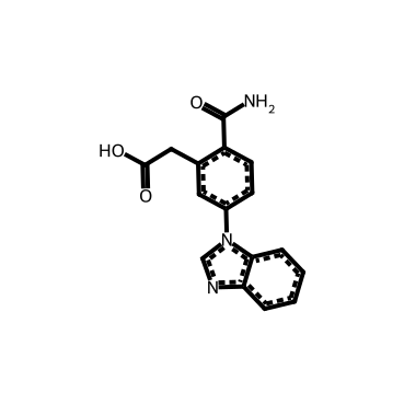 NC(=O)c1ccc(-n2cnc3ccccc32)cc1CC(=O)O